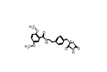 COc1ccc(OC)c(C(=O)NCCc2ccc(C[C@H]3SC(=O)NC3=O)cc2)c1